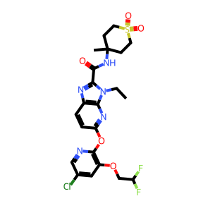 CCn1c(C(=O)NC2(C)CCS(=O)(=O)CC2)nc2ccc(Oc3ncc(Cl)cc3OCC(F)F)nc21